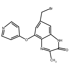 Cc1nc2c(Oc3ccncc3)cc(CBr)cc2[nH]c1=O